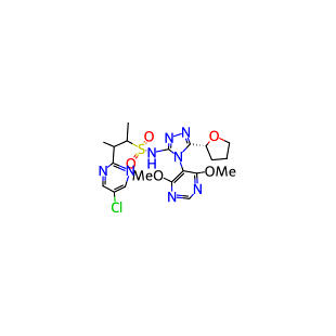 COc1ncnc(OC)c1-n1c(NS(=O)(=O)C(C)C(C)c2ncc(Cl)cn2)nnc1[C@H]1CCCO1